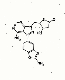 Nc1nc2cc(-c3nn(C[C@H]4S[S+]([O-])CC4O)c4ncnc(N)c34)ccc2o1